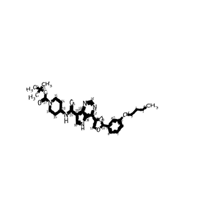 CCCCOc1cccc(C2OC=C(c3ncnc4c(C(=O)NC5CCN(C(=O)OC(C)(C)C)CC5)c[nH]c34)O2)c1